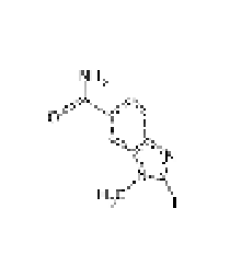 Cn1c(F)nc2ccc(C(N)=O)cc21